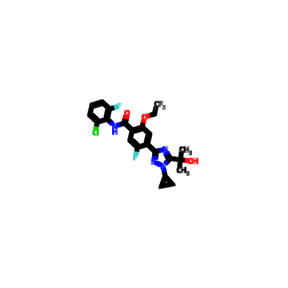 CC(C)(O)c1nc(-c2cc(OCC(F)(F)F)c(C(=O)Nc3c(F)cccc3Cl)cc2F)nn1C1CC1